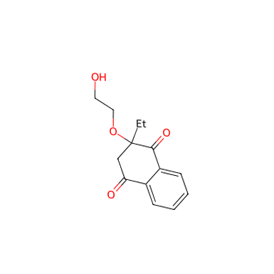 CCC1(OCCO)CC(=O)c2ccccc2C1=O